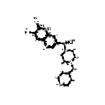 CCc1cc2ncc(CN3CCN(CC4CCNCC4)CC3)cc2[nH]c1=O.Cl